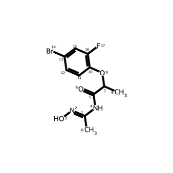 CC(=NO)NC(=O)C(C)Oc1ccc(Br)cc1F